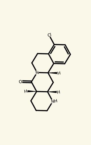 O=C1[C@H]2CCCN[C@H]2C[C@H]2c3cccc(Cl)c3CCN12